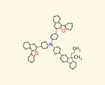 CCCC1(C)c2ccccc2-c2ccc(-c3ccc(N(c4ccc(-c5cc6ccccc6c6c5oc5ccccc56)cc4)c4ccc(-c5cc6ccccc6c6c5oc5ccccc56)cc4)cc3)cc21